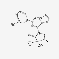 C[C@@H]1CN(c2nc(-c3ccnc(C#N)c3)cn3nccc23)C(=O)[C@]1(C#N)C1CC1